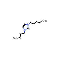 CCCCCCCCCCCCCCN1C=CN(CCCCCCCCCCCCC)C1